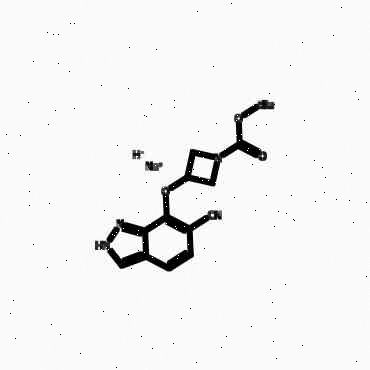 CC(C)(C)OC(=O)N1CC(Oc2c(C#N)ccc3c[nH]nc23)C1.[H-].[Na+]